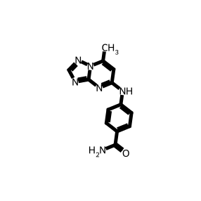 Cc1cc(Nc2ccc(C(N)=O)cc2)nc2ncnn12